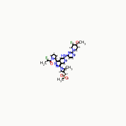 C=C(F)C(=O)N1CCCC1c1nnc(N2C[C@H](CS(C)(=O)=O)[C@H]2C)c2cnc(Nc3ccnc(N4CC[C@@H](OC)[C@@H](F)C4)n3)cc12